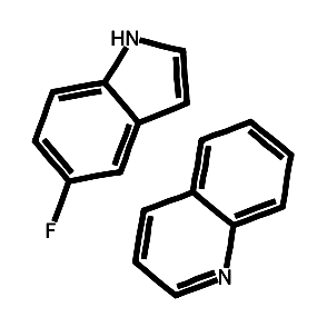 Fc1ccc2[nH]ccc2c1.c1ccc2ncccc2c1